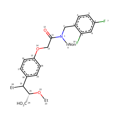 CCCCCCCCCN(Cc1ccc(F)cc1F)C(=O)COc1ccc(C(CC)[C@H](OCC)C(=O)O)cc1